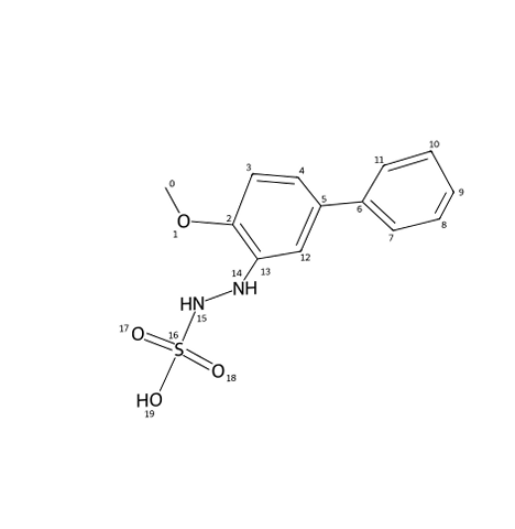 COc1ccc(-c2ccccc2)cc1NNS(=O)(=O)O